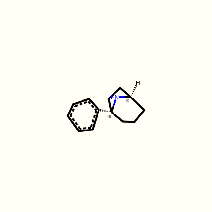 c1ccc([C@]23CCC[C@H](CC2)N3)cc1